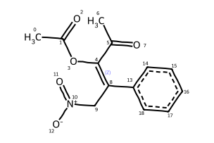 CC(=O)O/C(C(C)=O)=C(\C[N+](=O)[O-])c1ccccc1